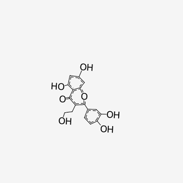 O=c1c(CCO)c(-c2ccc(O)c(O)c2)oc2cc(O)cc(O)c12